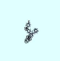 Cc1cc2c(cnn2-c2ccc(F)cc2)cc1C1CN(S(=O)(=O)N2CCOCC2)CCN1CCc1ccccc1